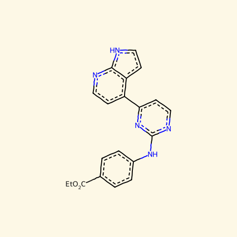 CCOC(=O)c1ccc(Nc2nccc(-c3ccnc4[nH]ccc34)n2)cc1